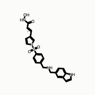 O=C(/C=C/c1ccn(S(=O)(=O)c2ccc(CNCc3ccc4[nH]ccc4c3)cc2)c1)NO